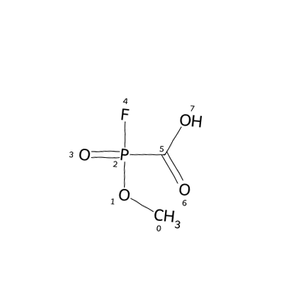 COP(=O)(F)C(=O)O